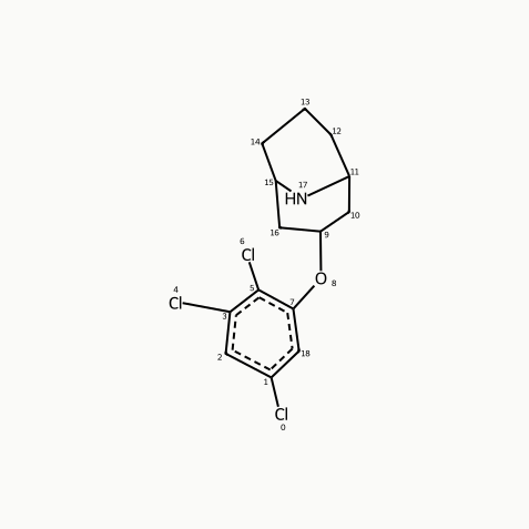 Clc1cc(Cl)c(Cl)c(OC2CC3CCCC(C2)N3)c1